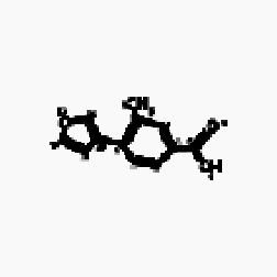 Cc1cc(C(=O)O)ccc1-c1ccoc1